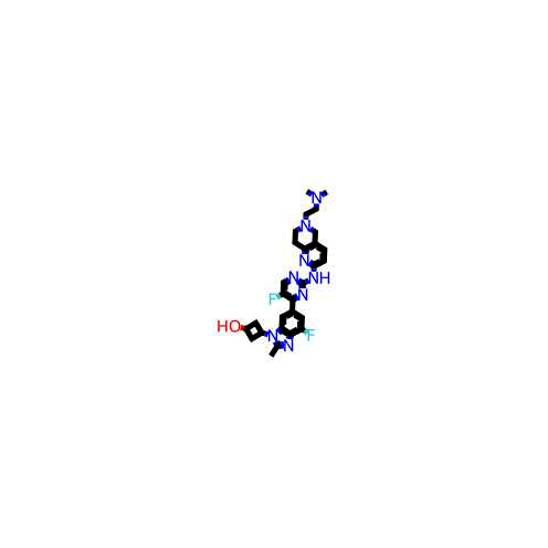 Cc1nc2c(F)cc(-c3nc(Nc4ccc5c(n4)CCN(CCN(C)C)C5)ncc3F)cc2n1C1CC(O)C1